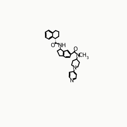 CN(C(=O)c1ccc2c(c1)[C@H](NC(=O)[C@H]1CCCc3ccccc31)CC2)C1CCN(c2ccncc2)CC1